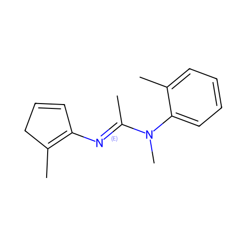 CC1=C(/N=C(\C)N(C)c2ccccc2C)C=CC1